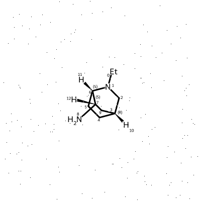 CCN1C[C@@H]2CC[C@H]1[C@@H](N)C2